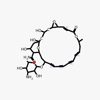 CC1C/C=C/C=C/C=C/C=C/C(OC2OC(C)C(O)C(N)C2O)CC2OC(O)(CC(O)CC3OC3/C=C/C(=O)O1)CC(O)C2C(N)=O